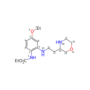 CCOC(=O)Nc1ccc(OCC)cc1NCCC1COCCN1